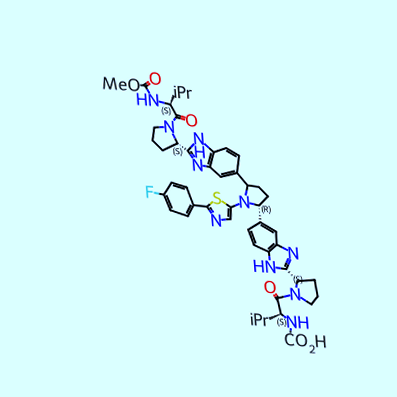 COC(=O)N[C@H](C(=O)N1CCC[C@H]1c1nc2cc(C3CC[C@H](c4ccc5[nH]c([C@@H]6CCCN6C(=O)[C@@H](NC(=O)O)C(C)C)nc5c4)N3c3cnc(-c4ccc(F)cc4)s3)ccc2[nH]1)C(C)C